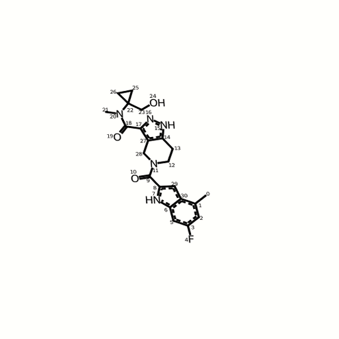 Cc1cc(F)cc2[nH]c(C(=O)N3CCc4[nH]nc(C(=O)N(C)C5(CO)CC5)c4C3)cc12